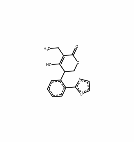 CCC1=C(O)C(c2ccccc2-c2ncco2)COC1=O